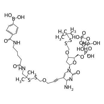 CC(C)(C)SSCOC1C[C@H](n2cc(C#CCOCSSC(C)(C)CNC(=O)CCCCNC(=O)c3ccc(B(O)O)cc3)c(N)nc2=O)O[C@@H]1CO[PH](O)(O)OP(=O)(O)OP(=O)(O)O